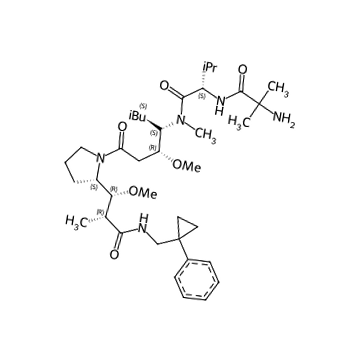 CC[C@H](C)[C@@H]([C@@H](CC(=O)N1CCC[C@H]1[C@H](OC)[C@@H](C)C(=O)NCC1(c2ccccc2)CC1)OC)N(C)C(=O)[C@@H](NC(=O)C(C)(C)N)C(C)C